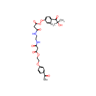 CC(C)(C)C(=O)c1ccc(OCCOC(=O)CC(=O)NCCNC(=O)CC(=O)OOc2ccc(C(=O)C(C)(C)O)cc2)cc1